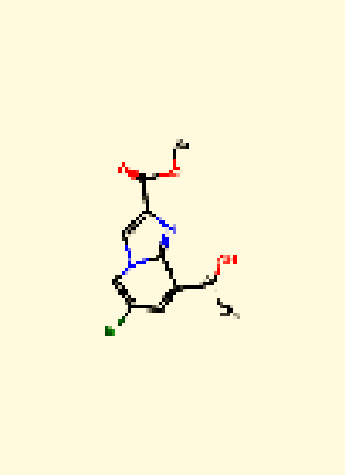 CC(C)(C)OC(=O)c1cn2cc(Br)cc([C@H](O)C(F)(F)F)c2n1